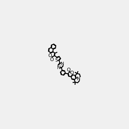 Cc1c(-c2ccc(-c3cnc(-c4cccc(-c5cc6cc7c8c(c6oc5=O)C(C)(C)CCN8CCC7(C)C)c4)cn3)s2)c(=O)oc2ccc3ccccc3c12